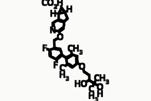 Cc1cc(OCCC(O)C(C)(C)O)cc(C)c1-c1cc(COc2cc3c(cn2)[C@H]2[C@@H](C3)[C@@H]2C(=O)O)c(F)cc1F